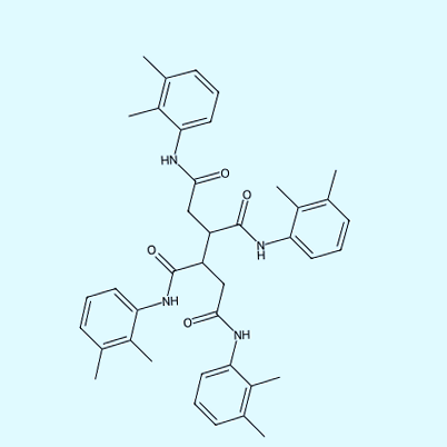 Cc1cccc(NC(=O)CC(C(=O)Nc2cccc(C)c2C)C(CC(=O)Nc2cccc(C)c2C)C(=O)Nc2cccc(C)c2C)c1C